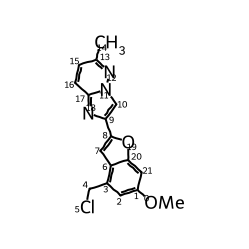 COc1cc(CCl)c2cc(-c3cn4nc(C)ccc4n3)oc2c1